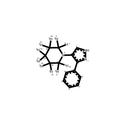 [2H]C1([2H])N(c2c[nH]nc2-c2ccccc2)C([2H])([2H])C([2H])([2H])C([2H])([2H])C1([2H])[2H]